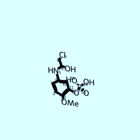 COc1ccc(NC(O)CCl)cc1OP(=O)(O)O